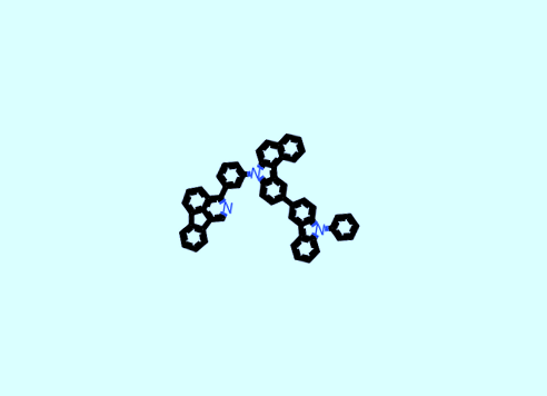 c1ccc(-n2c3ccccc3c3cc(-c4ccc5c(c4)c4c6ccccc6ccc4n5-c4cccc(-c5ncc6c7c(cccc57)-c5ccccc5-6)c4)ccc32)cc1